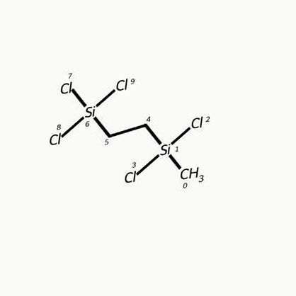 C[Si](Cl)(Cl)CC[Si](Cl)(Cl)Cl